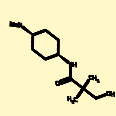 CN[C@H]1CC[C@@H](NC(=O)C(C)(C)CO)CC1